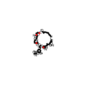 [2H]C([2H])(CO)O[C@@H]1CC[C@@H](C[C@@H](C)[C@@H]2CC(=O)[C@H](C([2H])([2H])[2H])/C=C(\C)[C@@H](O)[C@@H](OC)C(=C)[C@H](C)C[C@H](C)/C=C/C=C/C=C(\C)[C@@H](OC)C[C@@H]3CC[C@@H](C)[C@@](O)(O3)C(=O)C(=O)N3CCCC[C@H]3C(=O)O2)C[C@H]1OC